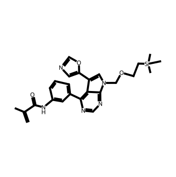 C=C(C)C(=O)Nc1cccc(-c2ncnc3c2c(-c2cnco2)cn3COCC[Si](C)(C)C)c1